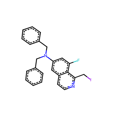 Fc1cc(N(Cc2ccccc2)Cc2ccccc2)cc2ccnc(CI)c12